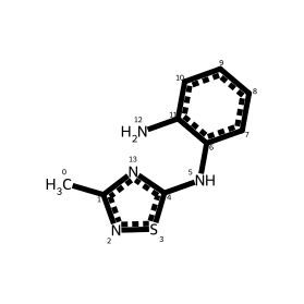 Cc1nsc(Nc2ccccc2N)n1